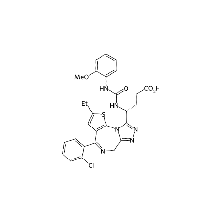 CCc1cc2c(s1)-n1c(nnc1[C@@H](CCC(=O)O)NC(=O)Nc1ccccc1OC)CN=C2c1ccccc1Cl